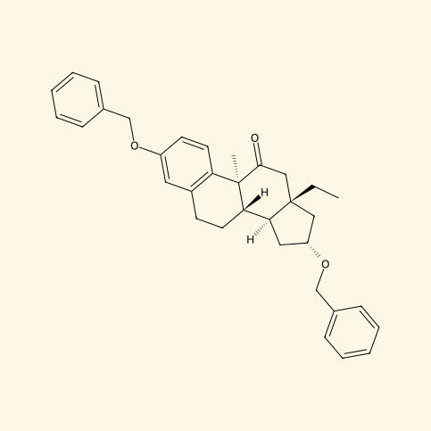 CC[C@]12CC(=O)[C@]3(C)c4ccc(OCc5ccccc5)cc4CC[C@H]3[C@@H]1C[C@@H](OCc1ccccc1)C2